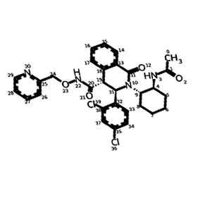 CC(=O)N[C@H]1CCCC[C@@H]1N1C(=O)c2ccccc2[C@@H](C(=O)NOCc2ccccn2)[C@@H]1c1ccc(Cl)cc1Cl